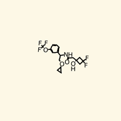 O=C(CC1(O)CC(F)(F)C1)NC(COC1CC1)c1cccc(OC(F)(F)F)c1